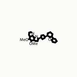 COc1c(OC)c2ccc(-c3ccc(-c4cccc5c4oc4ccccc45)cc3)nc2c2ncccc12